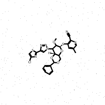 COC1C(n2cc(-c3nc(Cl)cs3)nn2)[C@H]2OC(c3ccccc3)OCC2O[C@@H]1Sc1cc(C)cnc1C#N